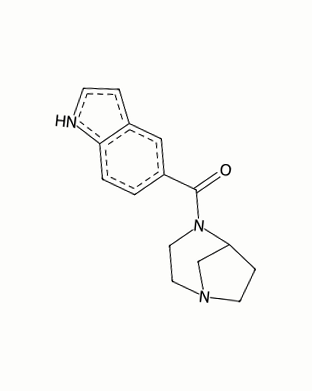 O=C(c1ccc2[nH]ccc2c1)N1CCN2CCC1C2